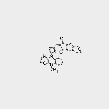 CN1c2ccccc2N(c2ccc(C=C3C(=O)c4cc5ccccc5cc4C3=O)s2)c2ncccc21